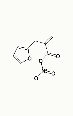 C=C(Cc1ccco1)C(=O)O[N+](=O)[O-]